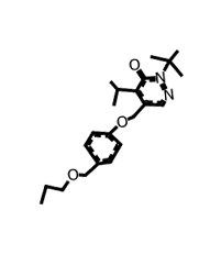 CCCOCc1ccc(OCc2cnn(C(C)(C)C)c(=O)c2C(C)C)cc1